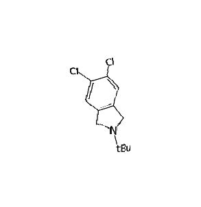 CC(C)(C)N1Cc2cc(Cl)c(Cl)cc2C1